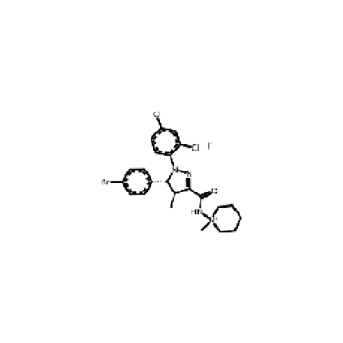 C[C@@H]1C(C(=O)N[N+]2(C)CCCCC2)=NN(c2ccc(Cl)cc2Cl)[C@H]1c1ccc(Br)cc1.[I-]